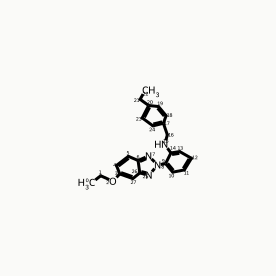 CCOc1ccc2nn(-c3ccccc3NCc3ccc(CC)cc3)nc2c1